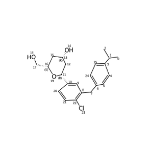 CC(C)c1ccc(Cc2cc([C@H]3C[C@@H](O)C[C@@H](CO)O3)ccc2Cl)cc1